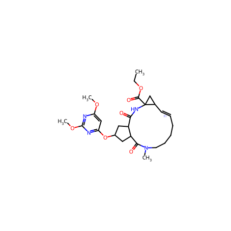 CCOC(=O)C12CC1/C=C/CCCCN(C)C(=O)C1CC(Oc3cc(OC)nc(OC)n3)CC1C(=O)N2